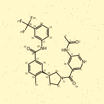 CC(=O)Nc1cncc(C(=O)N2CC[C@@H](c3cc(C(=O)Nc4cccc(C(F)(F)F)c4)ccc3C)C2)c1